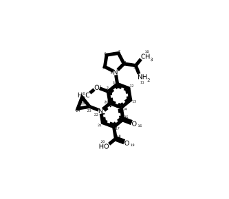 COc1c(N2CCCC2C(C)N)ccc2c(=O)c(C(=O)O)cn(C3CC3)c12